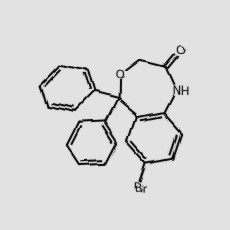 O=C1COC(c2ccccc2)(c2ccccc2)c2cc(Br)ccc2N1